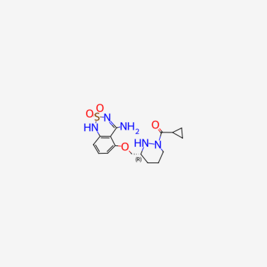 NC1=NS(=O)(=O)Nc2cccc(OC[C@H]3CCCN(C(=O)C4CC4)N3)c21